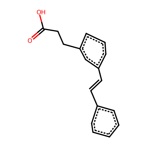 O=C(O)CCc1cccc(C=Cc2ccccc2)c1